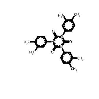 Cc1ccc(-n2c(=O)n(-c3ccc(C)c(C)c3)c(=O)n(-c3ccc(C)c(N)c3)c2=O)cc1C